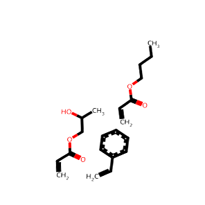 C=CC(=O)OCC(C)O.C=CC(=O)OCCCC.C=Cc1ccccc1